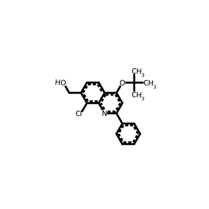 CC(C)(C)Oc1cc(-c2ccccc2)nc2c(Cl)c(CO)ccc12